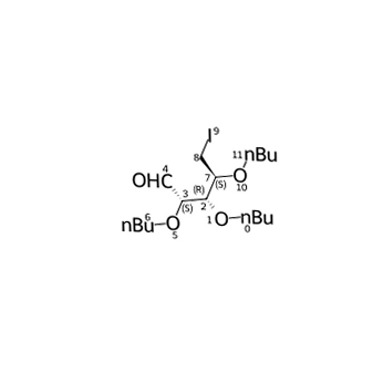 CCCCO[C@H]([C@@H](C=O)OCCCC)[C@@H](CI)OCCCC